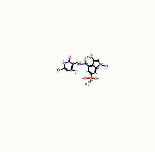 CCc1cc(C)[nH]c(=O)c1CNC(=O)c1cc(S(C)(=O)=O)cc2c1c(C)cn2C(C)C